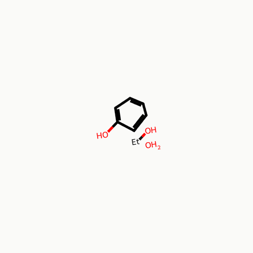 CCO.O.Oc1ccccc1